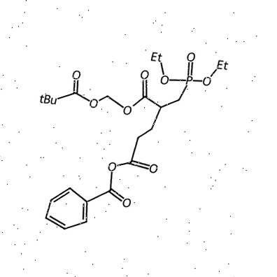 CCOP(=O)(CC(CCC(=O)OC(=O)c1ccccc1)C(=O)OCOC(=O)C(C)(C)C)OCC